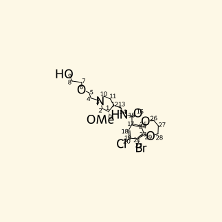 CO[C@@H]1CN(CCOCCO)CC[C@H]1CNC(=O)c1cc(Cl)c(Br)c2c1OCCCO2